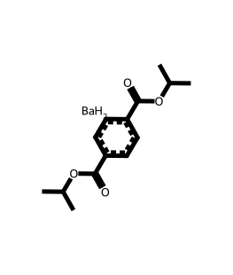 CC(C)OC(=O)c1ccc(C(=O)OC(C)C)cc1.[BaH2]